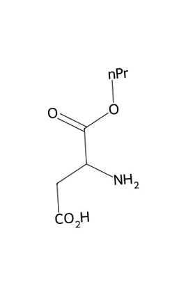 CCCOC(=O)C(N)CC(=O)O